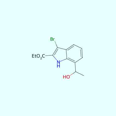 CCOC(=O)c1[nH]c2c(C(C)O)cccc2c1Br